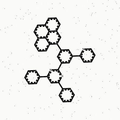 c1ccc(-c2cc(-c3ccccc3)nc(-c3cc(-c4ccccn4)cc(-c4cc5cccc6ccc7cccc4c7c65)c3)n2)cc1